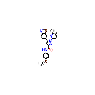 CSc1ccc(NC(=O)c2cc(-c3ccc4ncsc4c3)n(-c3cccc(C)n3)n2)cc1